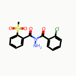 CS(=O)(=O)c1ccccc1C(=O)N(N)C(=O)c1ccccc1Cl